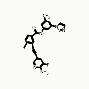 Cc1ccc(C(=O)Nc2cc(-n3ccnn3)cc(C(F)(F)F)c2)cc1C#Cc1cnc(N)c(F)c1